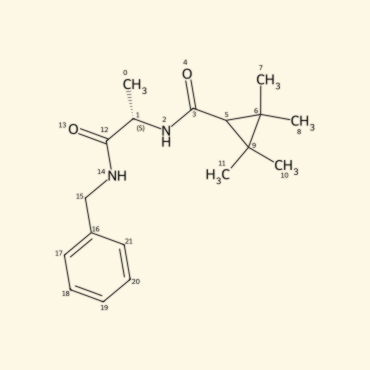 C[C@H](NC(=O)C1C(C)(C)C1(C)C)C(=O)NCc1ccccc1